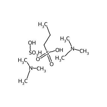 CCCS(=O)(=O)O.CN(C)C.CN(C)C.O=S(=O)(O)O